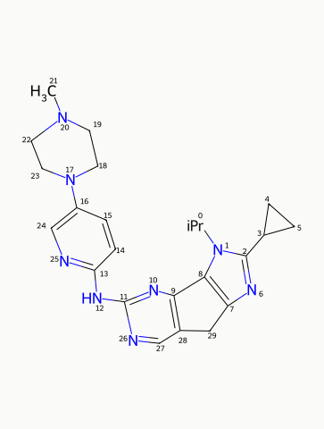 CC(C)n1c(C2CC2)nc2c1-c1nc(Nc3ccc(N4CCN(C)CC4)cn3)ncc1C2